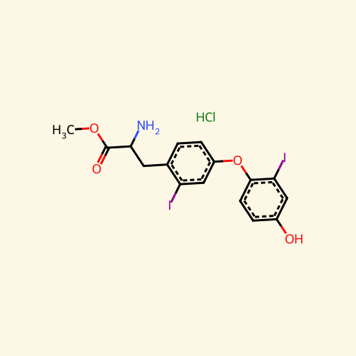 COC(=O)C(N)Cc1ccc(Oc2ccc(O)cc2I)cc1I.Cl